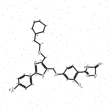 O=c1[nH]c(-c2ccc(OCc3sc(-c4ccc(C(F)(F)F)cc4)nc3COCCC3CCCCC3)cc2Cl)no1